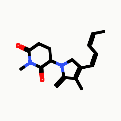 C=C1C(C)=C(/C=C\C=C/C)CN1C1CCC(=O)N(C)C1=O